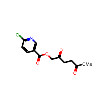 COC(=O)CCC(=O)COC(=O)c1ccc(Cl)nc1